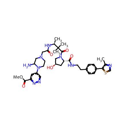 COC(=O)c1cc(N2CCN(CC(=O)N[C@@H](C)C(C)(C)C(=O)N3C[C@H](O)C[C@H]3C(=O)NCCc3ccc(-c4scnc4C)cc3)CC2N)cnn1